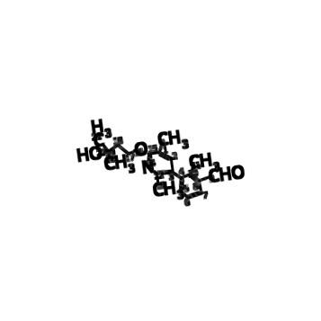 Cc1cc(-c2cccc(C=O)c2C)c(C)nc1OCCC(C)(C)O